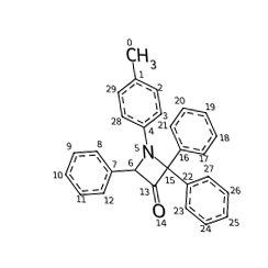 Cc1ccc(N2C(c3ccccc3)C(=O)C2(c2ccccc2)c2ccccc2)cc1